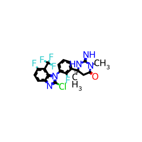 CN1C(=N)N[C@](C)(c2cccc(-n3c(Cl)nc4ccc(F)c(C(F)(F)F)c43)c2F)CC1=O